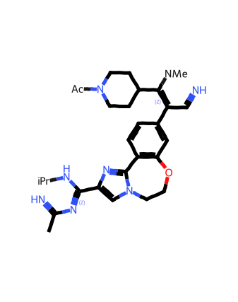 CN/C(=C(\C=N)c1ccc2c(c1)OCCn1cc(/C(=N/C(C)=N)NC(C)C)nc1-2)C1CCN(C(C)=O)CC1